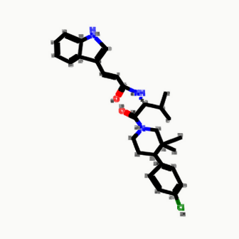 CC(C)[C@@H](NC(=O)/C=C/c1c[nH]c2ccccc12)C(=O)N1CCC(c2ccc(Cl)cc2)C(C)(C)C1